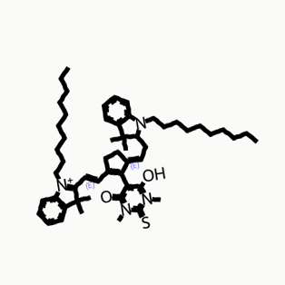 CCCCCCCCCCN1c2ccccc2C(C)(C)C1C/C=C1\CCC(/C=C/C2=[N+](CCCCCCCCCC)c3ccccc3C2(C)C)=C1c1c(O)n(C)c(=S)n(C)c1=O